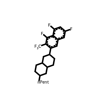 CCCCCC1CCC2CC(c3cc4cc(F)cc(F)c4c(F)c3C(F)(F)F)CCC2C1